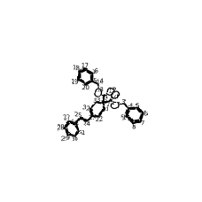 O=C(OCc1ccccc1)C1(C(=O)OCc2ccccc2)C=CC(C=Cc2ccccc2)=CC1